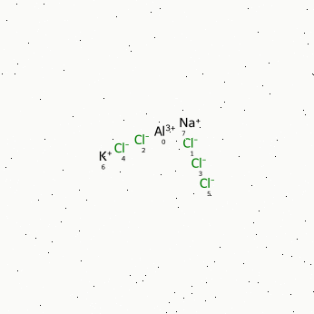 [Al+3].[Cl-].[Cl-].[Cl-].[Cl-].[Cl-].[K+].[Na+]